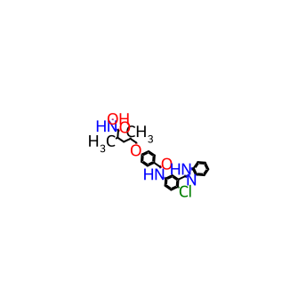 CC(COc1ccc(C(=O)Nc2ccc(Cl)c(-c3nc4ccccc4[nH]3)c2)cc1)CC(C)C(=O)NO